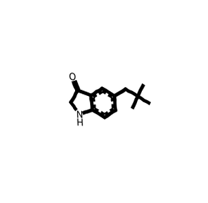 CC(C)(C)Cc1ccc2c(c1)C(=O)CN2